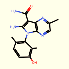 Cc1cnc2c(n1)c(C(N)=O)c(N)n2-c1c(C)ccc(O)c1C